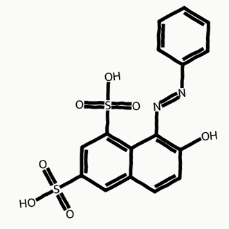 O=S(=O)(O)c1cc(S(=O)(=O)O)c2c(N=Nc3ccccc3)c(O)ccc2c1